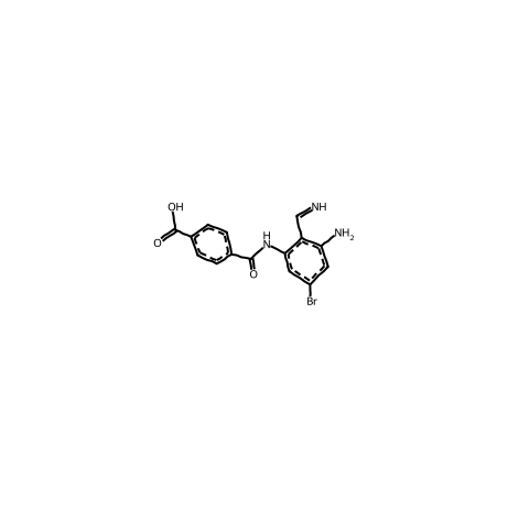 N=Cc1c(N)cc(Br)cc1NC(=O)c1ccc(C(=O)O)cc1